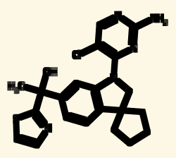 CC(O)(c1ccc2c(c1)N(c1nc(N)ncc1Cl)CC21CCCC1)c1nccs1